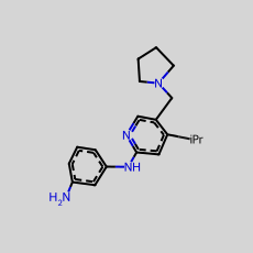 CC(C)c1cc(Nc2cccc(N)c2)ncc1CN1CCCC1